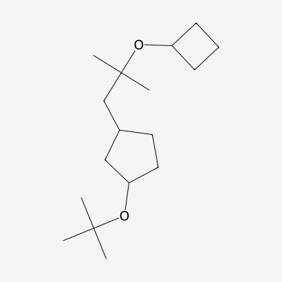 CC(C)(C)OC1CCC(CC(C)(C)OC2CCC2)C1